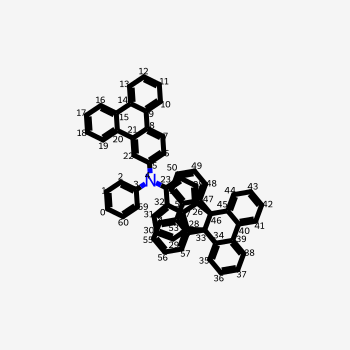 c1ccc(N(c2ccc3c4ccccc4c4ccccc4c3c2)c2ccc3c4c(cccc24)C24c5ccccc5-c5ccccc5C32c2ccccc2-c2ccccc24)cc1